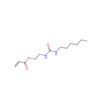 C=CC(=O)OCCNC(=O)NCCCCCC